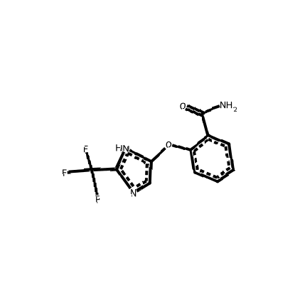 NC(=O)c1ccccc1Oc1cnc(C(F)(F)F)[nH]1